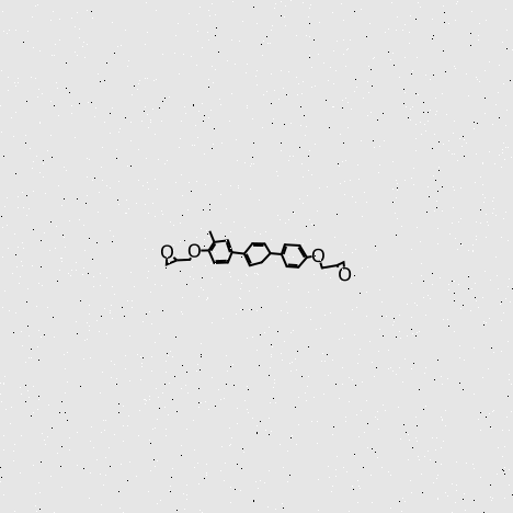 Cc1cc(C2=CCC(c3ccc(OCC4CO4)cc3)C=C2)ccc1OCC1CO1